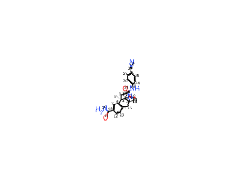 CN1CC[C@]2(C)c3cc(C(N)=O)ccc3C[C@@H]1[C@H]2N(C)C(=O)Nc1ccc(C#N)cc1